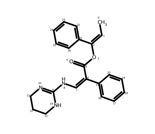 CC=C(OC(=O)C(=CNC1=NCCCN1)c1ccccc1)c1ccccc1